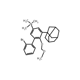 COCOc1c(-c2ccccc2Br)cc([Si](C)(C)C)cc1C12CC3CC(CC(C3)C1)C2